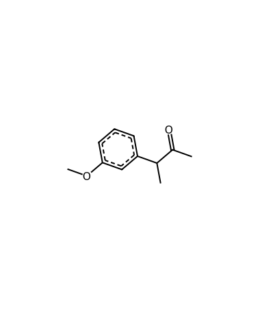 COc1cccc(C(C)C(C)=O)c1